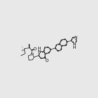 C=C(C(=O)N1CCCC1c1cc(=O)c2cc(-c3ccc4cc(-c5cnc[nH]5)ccc4c3)ccc2[nH]1)[C@@H](C)CC